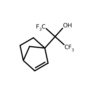 OC(C(F)(F)F)(C(F)(F)F)C12C=CC(CC1)C2